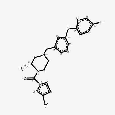 CC(=O)c1ccn(C(=O)N2CCN(Cc3cccc(Oc4ccc(F)cn4)c3)C[C@H]2C)n1